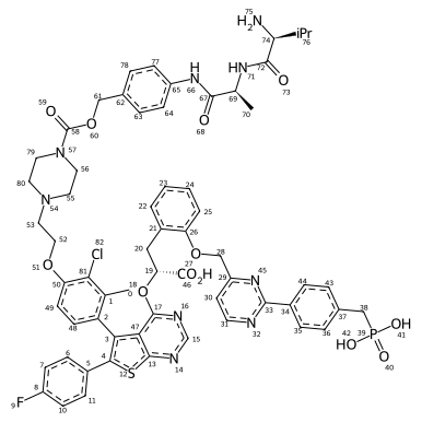 Cc1c(-c2c(-c3ccc(F)cc3)sc3ncnc(O[C@H](Cc4ccccc4OCc4ccnc(-c5ccc(CP(=O)(O)O)cc5)n4)C(=O)O)c23)ccc(OCCN2CCN(C(=O)OCc3ccc(NC(=O)[C@H](C)NC(=O)[C@@H](N)C(C)C)cc3)CC2)c1Cl